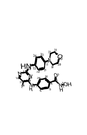 O=C(NO)c1ccc(Nc2nc(Nc3ccc(N4CCOCC4)cc3)ncc2F)cc1